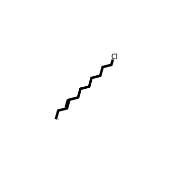 [CH2]CC=CCCCCCCCCl